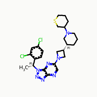 C[C@H](c1ccc(Cl)cc1Cl)n1nnc2ncc(N3CC([C@H]4CCCN(C5CCCSC5)C4)C3)nc21